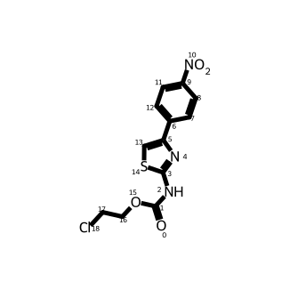 O=C(Nc1nc(-c2ccc([N+](=O)[O-])cc2)cs1)OCCCl